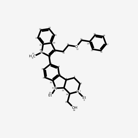 CCN1CCC2c3cc(-c4c(CCOCc5ccccc5)c5ccccc5n4C)ccc3N(CC)C2C1CO